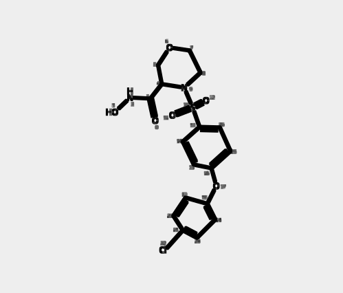 O=C(NO)C1COCCN1S(=O)(=O)c1ccc(Oc2ccc(Cl)cc2)cc1